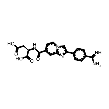 N=C(N)c1ccc(-c2cn3ccc(C(=O)N[C@H](CC(=O)O)C(=O)O)cc3n2)cc1